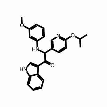 COc1cccc(NC(C(=O)c2c[nH]c3ccccc23)c2ccc(OC(C)C)nc2)c1